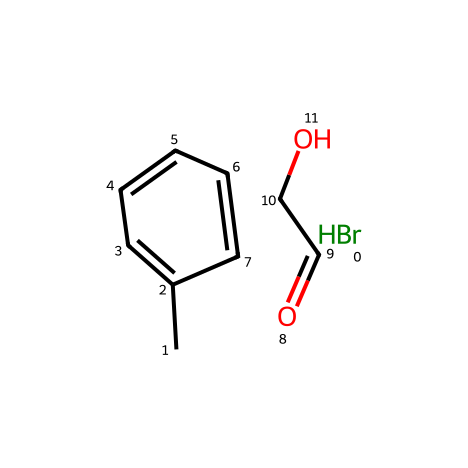 Br.Cc1ccccc1.O=CCO